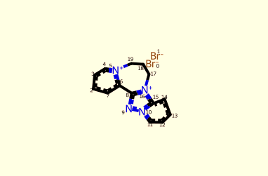 [Br-].[Br-].c1cc[n+]2c(c1)-c1nn3ccccc3[n+]1CCC2